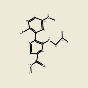 COC(=O)c1cnc(-c2cc(OC)ccc2F)c(OCC(C)C)c1